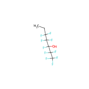 CCC(F)(F)C(F)(F)C(O)(F)C(F)(F)C(F)(F)F